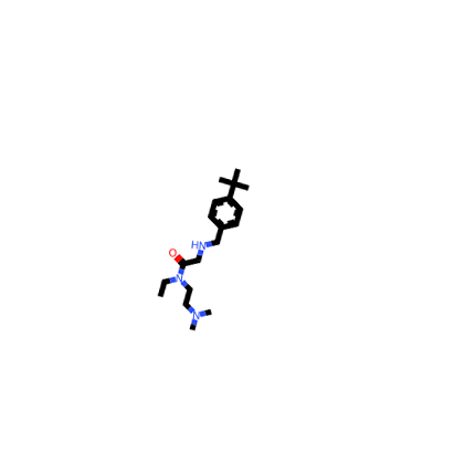 CCN(CCN(C)C)C(=O)CNCc1ccc(C(C)(C)C)cc1